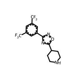 FC(F)(F)c1cc(-c2noc(C3CCNCC3)n2)cc(C(F)(F)F)c1